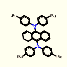 CC(C)(C)c1ccc(N(c2ccc(C(C)(C)C)cc2)c2c3c(c(N(c4ccc(C(C)(C)C)cc4)c4ccc(C(C)(C)C)cc4)c4ccccc24)CCC=C3)cc1